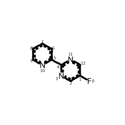 Fc1cnc(-c2cc[c]cn2)nc1